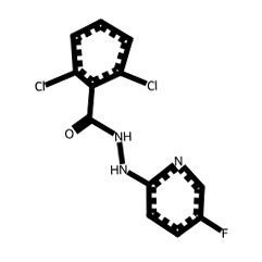 O=C(NNc1ccc(F)cn1)c1c(Cl)cccc1Cl